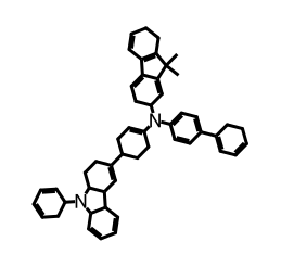 CC1(C)C2=CC(N(C3=CCC(C4=CC5C6C=CC=CC6N(C6C=CC=CC6)C5CC4)CC3)c3ccc(C4=CC=CCC4)cc3)CC=C2C2=C1CCC=C2